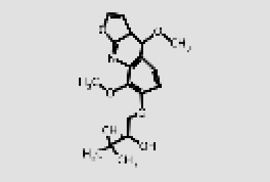 COc1c(OCC(O)C(C)(C)C)ccc2c1N=C1OC=CC1C2OC